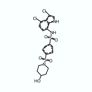 O=S(=O)(Nc1ccc(Cl)c2c(Cl)c[nH]c12)c1ccc(S(=O)(=O)N2CCC(O)CC2)cc1